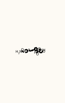 Cn1c(=O)n(C2CCC(=O)NC2=O)c2cccc(C#CCOC3CCN(CC(N)=O)CC3)c21